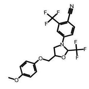 COc1ccc(OCC2CN(c3ccc(C#N)c(C(F)(F)F)c3)C(C(F)(F)F)O2)cc1